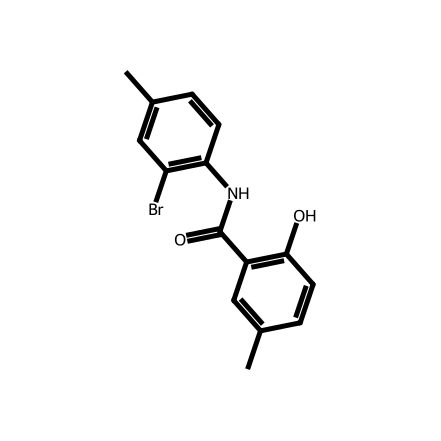 Cc1ccc(NC(=O)c2cc(C)ccc2O)c(Br)c1